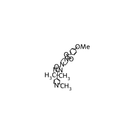 COc1ccc(S(=O)(=O)N2CCN(c3nc(C(C)(C)c4ccnc(C)c4)no3)CC2)cc1